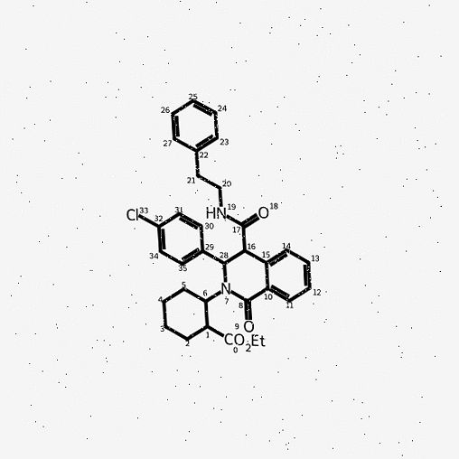 CCOC(=O)C1CCCCC1N1C(=O)c2ccccc2C(C(=O)NCCc2ccccc2)C1c1ccc(Cl)cc1